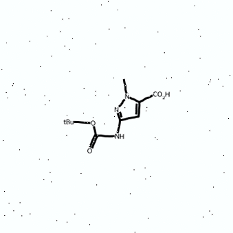 Cn1nc(NC(=O)OC(C)(C)C)cc1C(=O)O